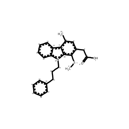 CSc1c(CC(=O)O)cc(C)c2c3ccccc3n(CCCc3ccccc3)c12